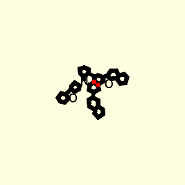 c1cc(-c2ccc3ccccc3c2)cc(N(c2ccc3c(c2)oc2ccccc23)c2ccccc2-c2ccc3oc4c5ccccc5ccc4c3c2)c1